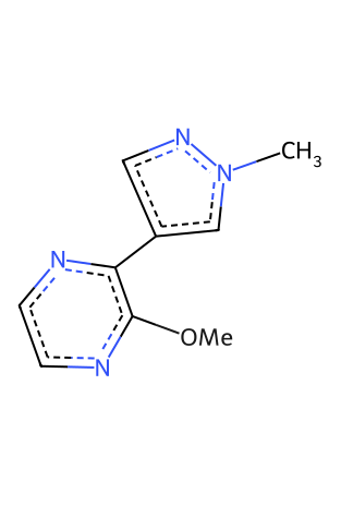 COc1nccnc1-c1cnn(C)c1